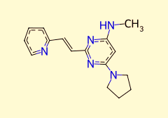 CNc1cc(N2CCCC2)nc(/C=C/c2ccccn2)n1